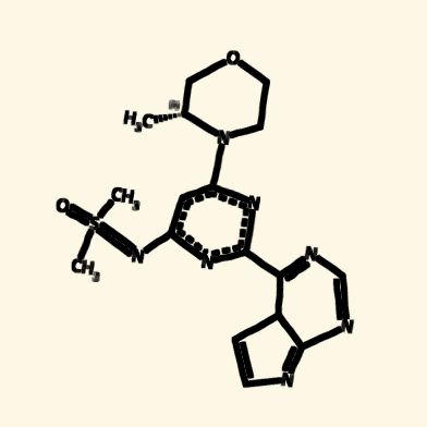 C[C@@H]1COCCN1c1cc(N=S(C)(C)=O)nc(C2=NC=NC3=NC=CC32)n1